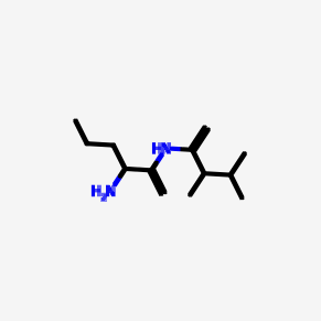 C=C(NC(=C)C(C)C(C)C)C(N)CCC